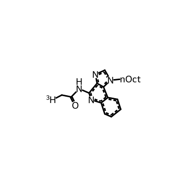 [3H]CC(=O)Nc1nc2ccccc2c2c1ncn2CCCCCCCC